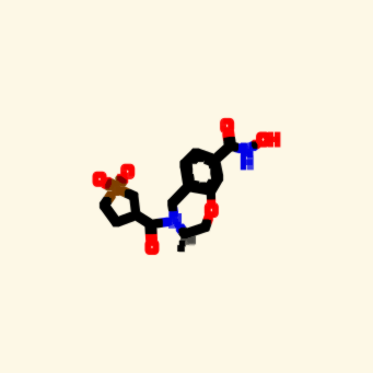 C[C@H]1COc2cc(C(=O)NO)ccc2CN1C(=O)C1CCS(=O)(=O)C1